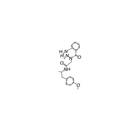 COc1ccc(CC(C)NC(=O)CN(N)C(=O)c2ccccc2N)cc1